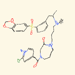 CCCN(CCCCN1CCCN(C(=O)c2ccnc(Cl)c2)CC1=O)C(C)Cc1cccc(S(=O)(=O)c2ccc3c(c2)OCO3)c1